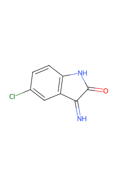 N=C1C(=O)Nc2ccc(Cl)cc21